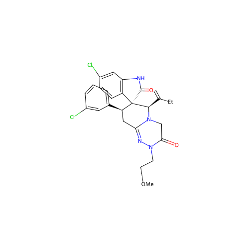 C=C(CC)[C@H]1N2CC(=O)N(CCOC)N=C2C[C@@H](c2cccc(Cl)c2)[C@]12C(=O)Nc1cc(Cl)ccc12